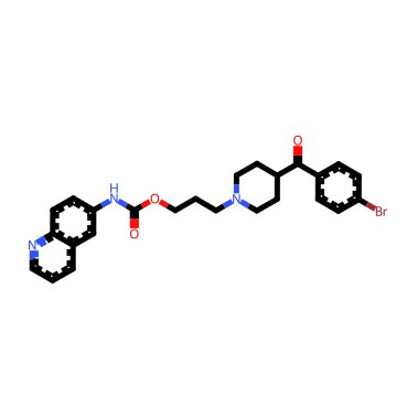 O=C(Nc1ccc2ncccc2c1)OCCCN1CCC(C(=O)c2ccc(Br)cc2)CC1